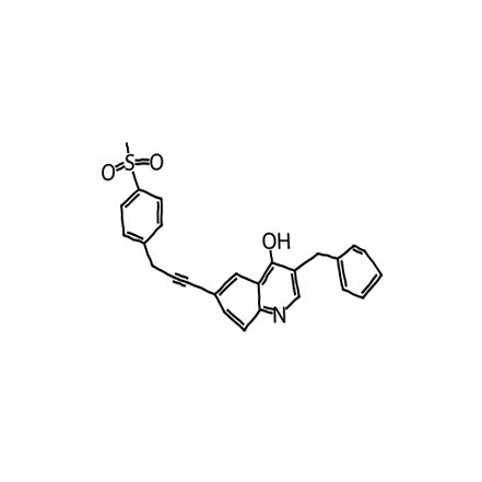 CS(=O)(=O)c1ccc(CC#Cc2ccc3ncc(Cc4ccccc4)c(O)c3c2)cc1